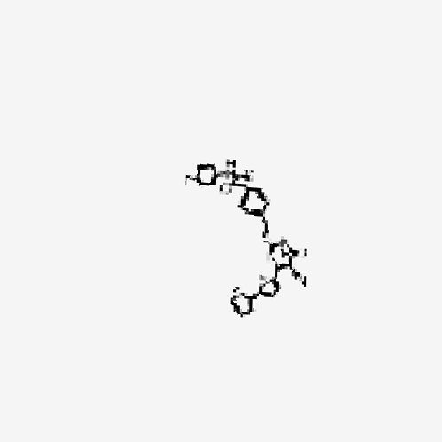 N#Cc1c(-c2ccc(-c3cccs3)s2)nc(SCc2ccc(S(=O)(=O)Nc3ccc(F)cc3)cc2)[nH]c1=O